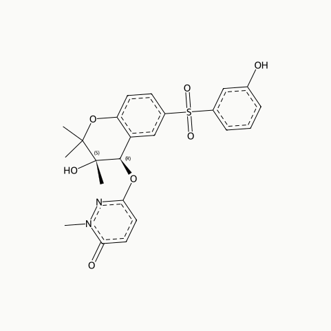 Cn1nc(O[C@@H]2c3cc(S(=O)(=O)c4cccc(O)c4)ccc3OC(C)(C)[C@@]2(C)O)ccc1=O